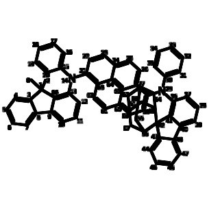 CC1(C)c2ccccc2-c2cccc(N(c3ccccc3)c3ccc4ccc5c(N(c6ccccc6)c6cccc7c6C6(c8ccccc8-7)C7CC8CC(C7)CC6C8)ccc6ccc3c4c65)c21